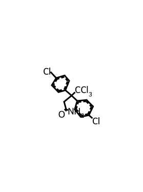 NC(=O)CC(c1ccc(Cl)cc1)(c1ccc(Cl)cc1)C(Cl)(Cl)Cl